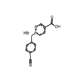 Br.N#Cc1ccc(C[n+]2ccc(C(=O)O)cn2)cc1